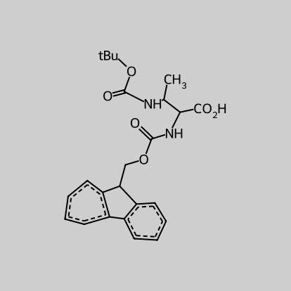 CC(NC(=O)OC(C)(C)C)C(NC(=O)OCC1c2ccccc2-c2ccccc21)C(=O)O